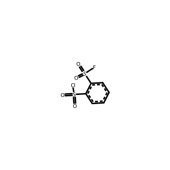 O=S(=O)(F)c1ccccc1S(=O)(=O)Cl